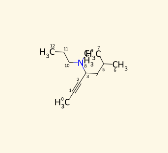 CC#CC(CC(C)C)N(C)CCC